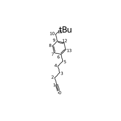 [C]#CCCCCc1ccc(CC(C)(C)C)cc1